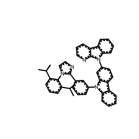 CC(C)c1cccc(C(C)C)c1-n1ccnc1-c1cccc(-n2c3ccccc3c3ccc(-n4c5ccccc5c5cccnc54)cc32)c1